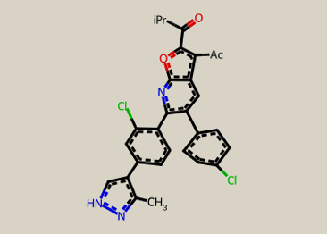 CC(=O)c1c(C(=O)C(C)C)oc2nc(-c3ccc(-c4c[nH]nc4C)cc3Cl)c(-c3ccc(Cl)cc3)cc12